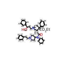 CCC(=O)N(c1ccccc1)C1CCN(CCc2ccccc2)CC1.CCOC(=O)C1(c2ccccc2)CCN(CCC(O)c2ccccc2)CC1